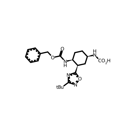 CC(C)(C)c1noc([C@@H]2C[C@H](NC(=O)O)CC[C@@H]2NC(=O)OCc2ccccc2)n1